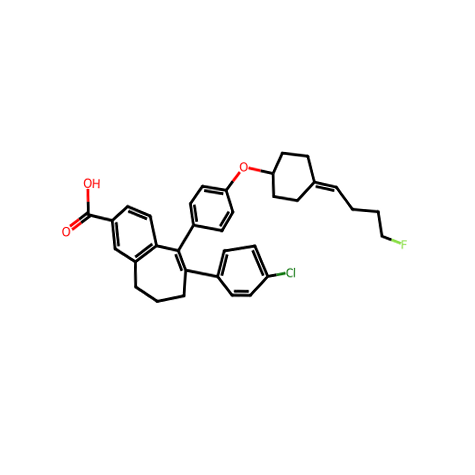 O=C(O)c1ccc2c(c1)CCCC(c1ccc(Cl)cc1)=C2c1ccc(OC2CCC(=CCCCF)CC2)cc1